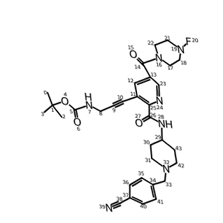 CC(C)(C)OC(=O)NCC#Cc1cc(C(=O)N2CCN(F)CC2)cnc1C(=O)NC1CCN(Cc2ccc(C#N)cc2)CC1